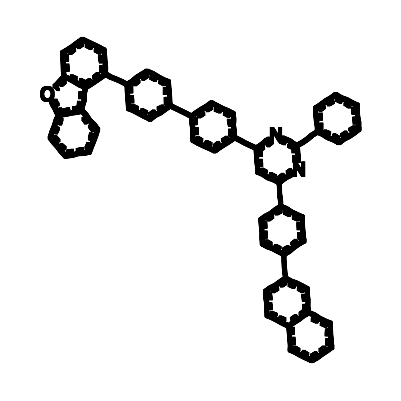 c1ccc(-c2nc(-c3ccc(-c4ccc(-c5cccc6oc7ccccc7c56)cc4)cc3)cc(-c3ccc(-c4ccc5ccccc5c4)cc3)n2)cc1